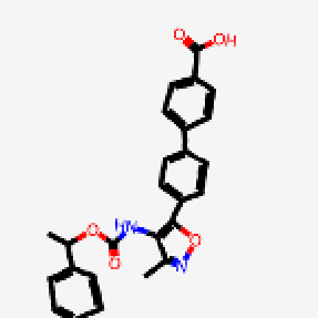 Cc1noc(-c2ccc(-c3ccc(C(=O)O)cc3)cc2)c1NC(=O)OC(C)c1ccccc1